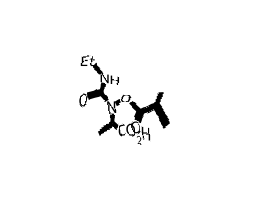 C=C(C)C(=O)ON(C(=O)NCC)C(C)C(=O)O